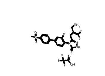 CS(=O)(=O)c1ccc(-c2ccc(-n3c(CC(CN)=C(F)F)n[nH]c3=O)c(F)c2)cc1.O=C(O)C(F)(F)F